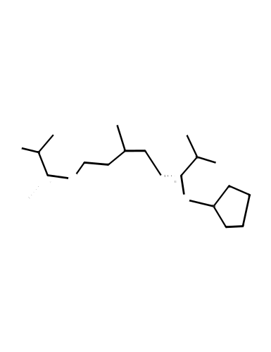 CC(CCO[C@H](C)C(C)C)CC[C@@H](OC1CCCC1)C(C)C